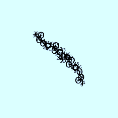 C=CC(=O)OCOc1ccc(C(=O)Oc2ccc3c(c2)C(C)(C)c2cc(OC(=O)c4ccc(OCOC(=O)C=C)cc4)ccc2-3)cc1